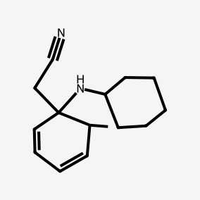 CC1C=CC=CC1(CC#N)NC1CCCCC1